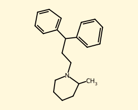 CC1CCCCN1CCC(c1ccccc1)c1ccccc1